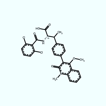 COc1c(-c2ccc(C(C)[C@H](NC(=O)c3c(Cl)cccc3Cl)C(=O)O)cc2)c(=O)n(C)c2ccccc12